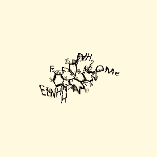 CCNc1cc(F)c(F)c2c1[nH]c1ncc(-c3cnc(OC)nc3)c(N3CC[C@@H](N)C3)c12